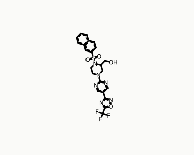 O=S(=O)(c1ccc2ccccc2c1)N1CCN(c2ncc(-c3noc(C(F)(F)F)n3)cn2)CC1CO